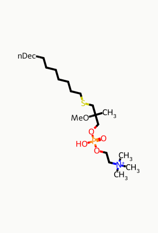 CCCCCCCCCCCCCCCCCSCC(C)(COP(=O)(O)OCC[N+](C)(C)C)OC